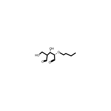 CCCCO[C@H](C=O)[C@@H](O)C(C=O)CO